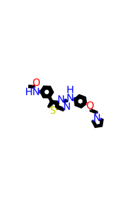 CC(=O)Nc1cccc(-c2csc3cnc(Nc4ccc(OCCN5CCCC5)cc4)nc23)c1